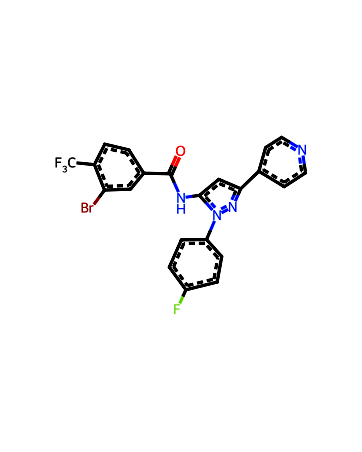 O=C(Nc1cc(-c2ccncc2)nn1-c1ccc(F)cc1)c1ccc(C(F)(F)F)c(Br)c1